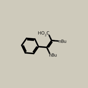 CCCCC(C(=O)O)=C(CCCC)c1ccccc1